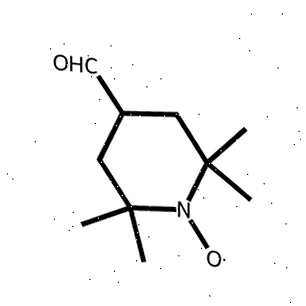 CC1(C)CC(C=O)CC(C)(C)N1[O]